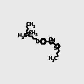 CCCCc1ccc(-c2cc(-c3ccc(OCCCC[Si](C)(C)CCCC)cc3)on2)s1